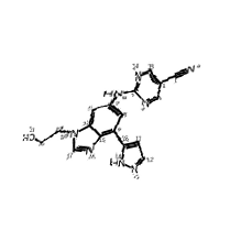 N#Cc1cnc(Nc2cc(-c3ccn[nH]3)c3ncn(CCO)c3c2)nc1